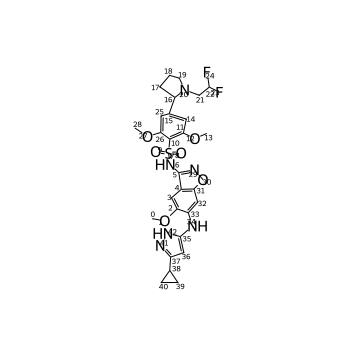 COc1cc2c(NS(=O)(=O)c3c(OC)cc(C4CCCN4CC(F)F)cc3OC)noc2cc1Nc1cc(C2CC2)n[nH]1